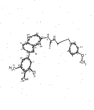 COc1ccc(CCNC(=S)Nc2cnc3ccc(-c4cc(C)c(O)c(Cl)c4)cc3n2)cc1